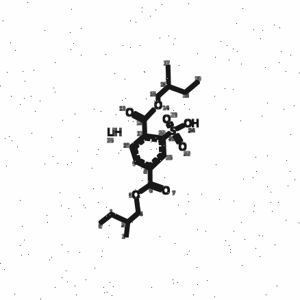 CCC(C)COC(=O)c1ccc(C(=O)OCC(C)CC)c(S(=O)(=O)O)c1.[LiH]